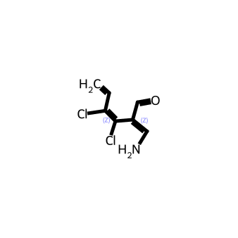 C=C/C(Cl)=C(Cl)\C(C=O)=C/N